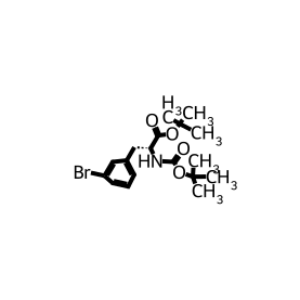 CC(C)(C)OC(=O)N[C@H](Cc1cccc(Br)c1)C(=O)OC(C)(C)C